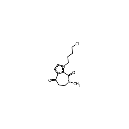 CN1CCC(=O)c2ccn(CCCCCl)c2C1=O